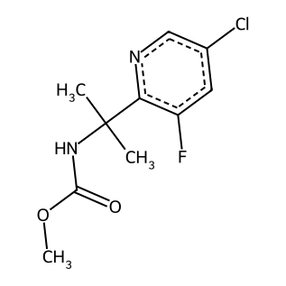 COC(=O)NC(C)(C)c1ncc(Cl)cc1F